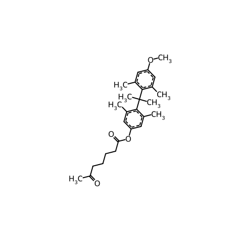 COc1cc(C)c(C(C)(C)c2c(C)cc(OC(=O)CCCCC(C)=O)cc2C)c(C)c1